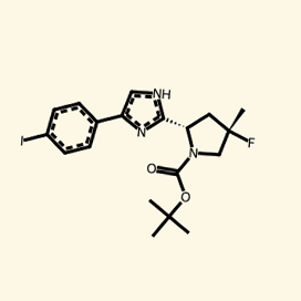 CC(C)(C)OC(=O)N1C[C@@](C)(F)C[C@H]1c1nc(-c2ccc(I)cc2)c[nH]1